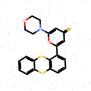 S=c1cc(-c2cccc3c2Sc2ccccc2S3)oc(N2CCOCC2)c1